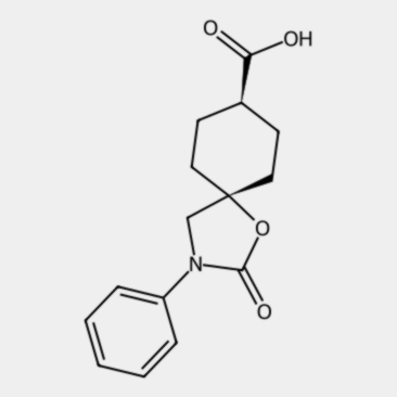 O=C1O[C@]2(CC[C@H](C(=O)O)CC2)CN1c1ccccc1